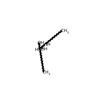 CCCCCCCCCCCCCCCCCNC(CCCO)C(O)CCCNCCCCCCCCCCCCCCCC